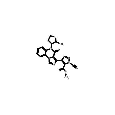 COC(=O)c1c(-c2ncn3c2c(=O)n(C2CCOC2C)c2ccccc23)nnn1C#N